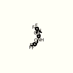 Cc1nc2cc(F)c(F)cc2c(=O)n1-c1ccc(NC(=O)Cc2ccc(C(F)(F)F)cc2)cc1